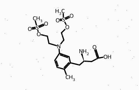 Cc1ccc(N(CCOS(C)(=O)=O)CCOS(C)(=O)=O)cc1C[C@@H](N)CC(=O)O